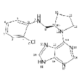 Clc1ccccc1NC[C@H]1CCCN1c1ncnc2[nH]cnc12